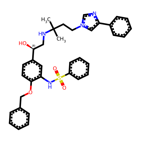 CC(C)(CCn1cnc(-c2ccccc2)c1)NC[C@H](O)c1ccc(OCc2ccccc2)c(NS(=O)(=O)c2ccccc2)c1